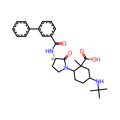 CC(C)(C)NC1CCC(N2CC[C@H](NC(=O)c3cccc(-c4ccccc4)c3)C2=O)C(C)(C(=O)O)C1